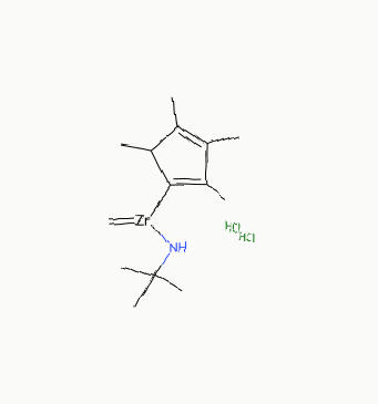 Cl.Cl.[CH2]=[Zr]([NH]C(C)(C)C)[C]1=C(C)C(C)=C(C)C1C